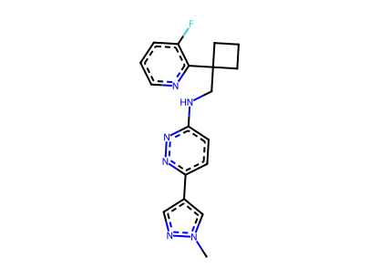 Cn1cc(-c2ccc(NCC3(c4ncccc4F)CCC3)nn2)cn1